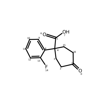 O=C1CCC(C(=O)O)(c2ccccc2F)CC1